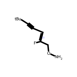 CC(C)(C)C#C/C=C(\F)CON